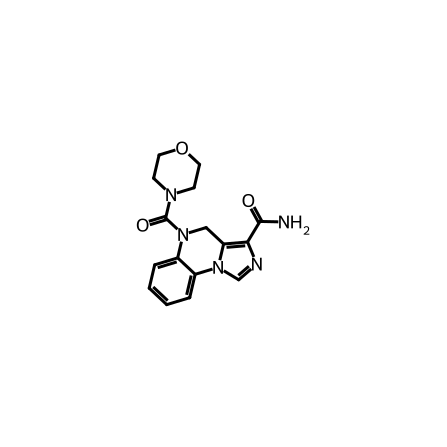 NC(=O)c1ncn2c1CN(C(=O)N1CCOCC1)c1ccccc1-2